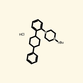 CCCCN1CCN(c2ccccc2C2CCC(c3ccccc3)CC2)CC1.Cl